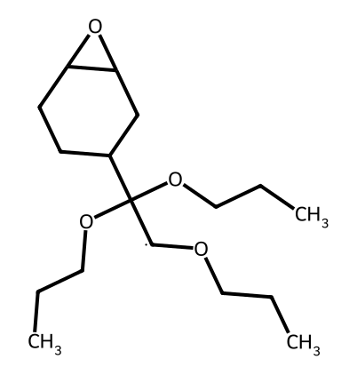 CCCO[CH]C(OCCC)(OCCC)C1CCC2OC2C1